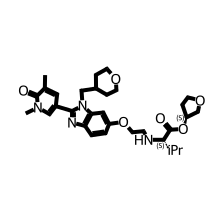 Cc1cc(-c2nc3ccc(OCCN[C@H](C(=O)O[C@H]4CCOC4)C(C)C)cc3n2CC2CCOCC2)cn(C)c1=O